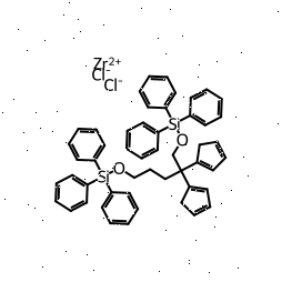 C1=CCC(C(CCCO[Si](c2ccccc2)(c2ccccc2)c2ccccc2)(CO[Si](c2ccccc2)(c2ccccc2)c2ccccc2)C2=CC=CC2)=C1.[Cl-].[Cl-].[Zr+2]